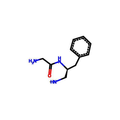 [NH]C[C@H](Cc1ccccc1)NC(=O)CN